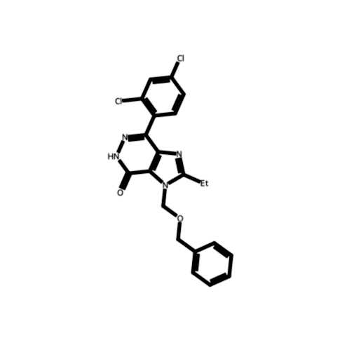 CCc1nc2c(-c3ccc(Cl)cc3Cl)n[nH]c(=O)c2n1COCc1ccccc1